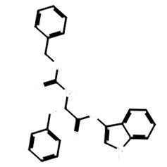 O=C(N[C@@H](Cc1ccccc1)C(=O)Oc1c[nH]c2ccccc12)OCc1ccccc1